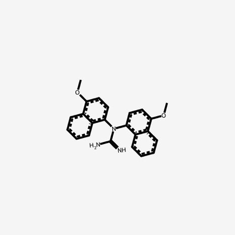 COc1ccc(N(C(=N)N)c2ccc(OC)c3ccccc23)c2ccccc12